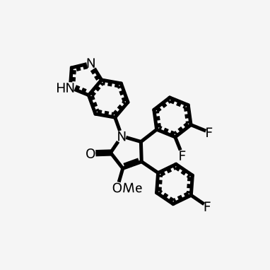 COC1=C(c2ccc(F)cc2)C(c2cccc(F)c2F)N(c2ccc3nc[nH]c3c2)C1=O